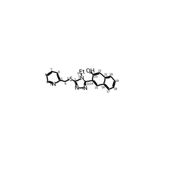 CCn1c(SCc2ccccn2)nnc1-c1cc2ccccc2cc1O